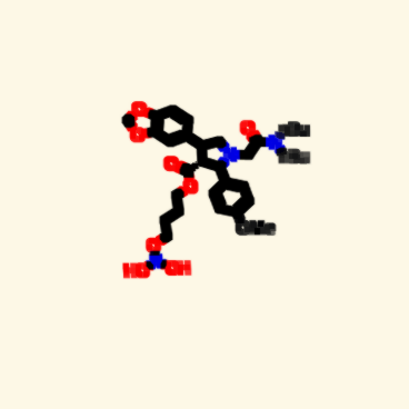 CCCCN(CCCC)C(=O)CN1CC(c2ccc3c(c2)OCO3)[C@@H](C(=O)OCCCCON(O)O)C1c1ccc(OC)cc1